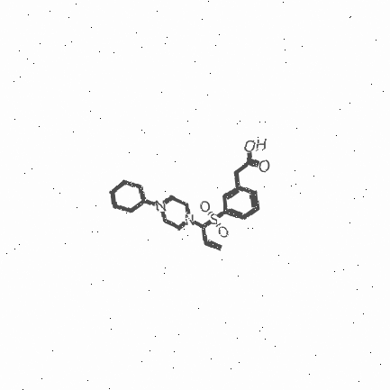 C=CC(N1CCN(C2CCCCC2)CC1)S(=O)(=O)c1cccc(CC(=O)O)c1